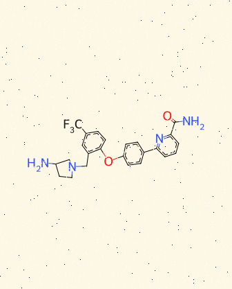 NC(=O)c1cccc(-c2ccc(Oc3ccc(C(F)(F)F)cc3CN3CCC(N)C3)cc2)n1